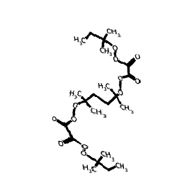 CCC(C)(C)OOC(=O)C(=O)OOC(C)(C)CCC(C)(C)OOC(=O)C(=O)OOC(C)(C)CC